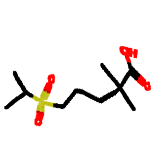 CC(C)S(=O)(=O)CCCC(C)(C)C(=O)O